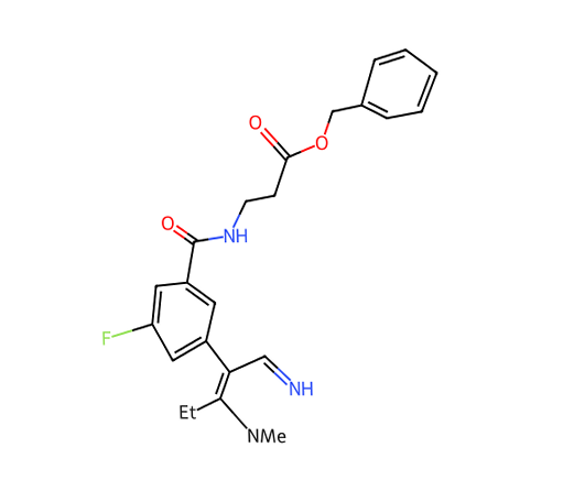 CC/C(NC)=C(/C=N)c1cc(F)cc(C(=O)NCCC(=O)OCc2ccccc2)c1